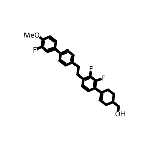 COc1ccc(-c2ccc(CCc3ccc(C4=CCC(CO)CC4)c(F)c3F)cc2)cc1F